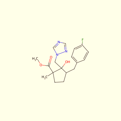 COC(=O)C1(C)CCC(Cc2ccc(F)cc2)C1(O)Cn1cncn1